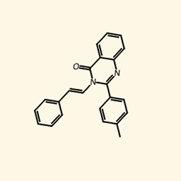 Cc1ccc(-c2nc3ccccc3c(=O)n2C=Cc2ccccc2)cc1